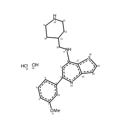 COc1cccc(-c2cc(NCC3CCNCC3)c3sccc3n2)c1.Cl.Cl